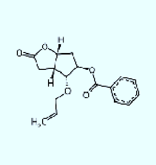 C=CCO[C@@H]1[C@@H]2CC(=O)O[C@@H]2C[C@H]1OC(=O)c1ccccc1